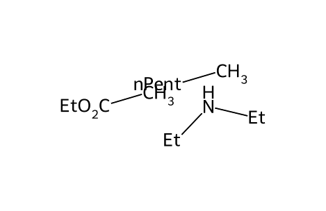 CCCCCC.CCNCC.CCOC(C)=O